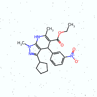 CCOC(=O)C1=C(C)Nc2c(c(C3CCCC3)nn2C)C1c1cccc([N+](=O)[O-])c1